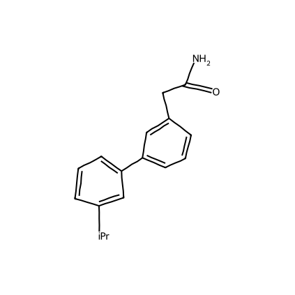 CC(C)c1cccc(-c2cccc(CC(N)=O)c2)c1